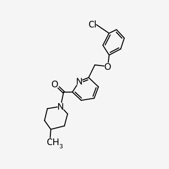 CC1CCN(C(=O)c2cccc(COc3cccc(Cl)c3)n2)CC1